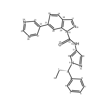 CC[C@@H](c1ccccc1)n1cc(NC(=O)n2ncc3ccc(-c4cncnc4)cc32)cn1